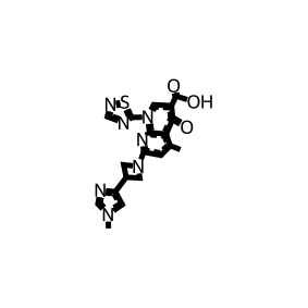 Cc1cc(N2CC(c3cn(C)cn3)C2)nc2c1c(=O)c(C(=O)O)cn2-c1ncns1